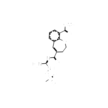 COC(=O)c1cccc2c1OCCC(C(=O)N=C(N)NOS(C)(=O)=O)=C2